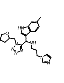 Cc1ccc2c(C(NCCCn3ccnc3)c3nnnn3CC3CCCO3)c[nH]c2c1